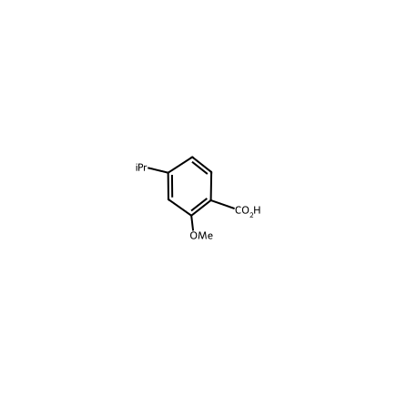 COc1cc(C(C)C)ccc1C(=O)O